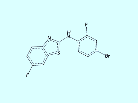 Fc1ccc2nc(Nc3ccc(Br)cc3F)sc2c1